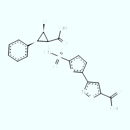 C[C@@H]1[C@H](c2ccccc2)[C@]1(NS(=O)(=O)c1ccc(-c2cc(C(=O)O)on2)s1)C(=O)O